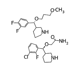 COCCCO[C@@H](c1ccc(F)c(F)c1)C1CCCNC1.NC(=O)CO[C@H](c1cccc(Cl)c1F)C1CCCNC1